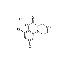 Cl.O=C1Nc2c(Cl)cc(Cl)cc2N2CCNCC12